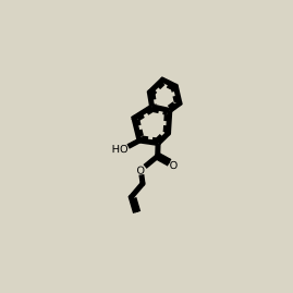 C=CCOC(=O)c1cc2ccccc2cc1O